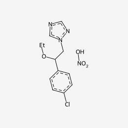 CCOC(Cn1cncn1)c1ccc(Cl)cc1.O=[N+]([O-])O